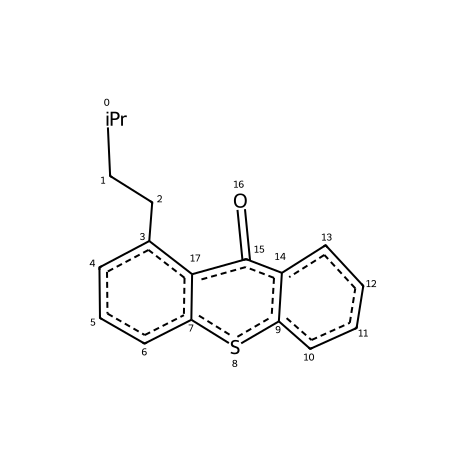 CC(C)CCc1cccc2sc3ccccc3c(=O)c12